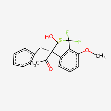 COc1cccc([C@@](Cc2ccccc2)(C(C)=O)C(O)=S)c1C(F)(F)F